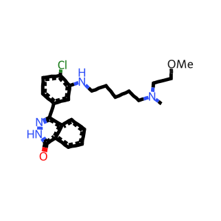 COCCN(C)CCCCCNc1cc(-c2n[nH]c(=O)c3ccccc23)ccc1Cl